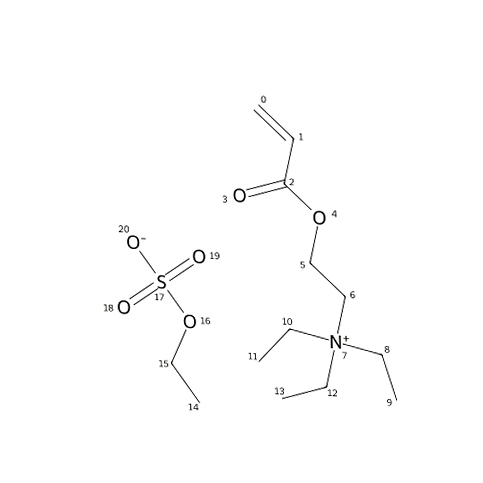 C=CC(=O)OCC[N+](CC)(CC)CC.CCOS(=O)(=O)[O-]